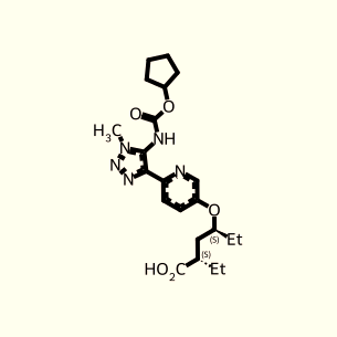 CC[C@@H](C[C@H](CC)C(=O)O)Oc1ccc(-c2nnn(C)c2NC(=O)OC2CCCC2)nc1